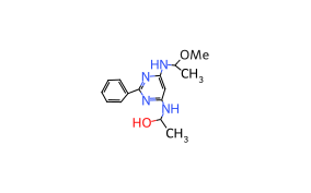 COC(C)Nc1cc(NC(C)O)nc(-c2ccccc2)n1